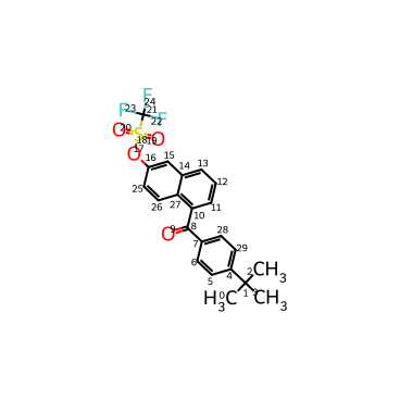 CC(C)(C)c1ccc(C(=O)c2cccc3cc(OS(=O)(=O)C(F)(F)F)ccc23)cc1